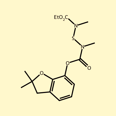 CCOC(=O)N(C)SN(C)C(=O)Oc1cccc2c1OC(C)(C)C2